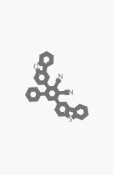 N#Cc1c(-c2ccc3sc4ccccc4c3c2)cc(-c2ccccc2)c(-c2ccc3oc4ccccc4c3c2)c1C#N